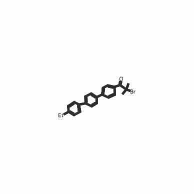 CCc1ccc(-c2ccc(-c3ccc(C(=O)C(C)(C)Br)cc3)cc2)cc1